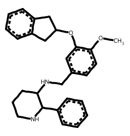 COc1ccc(CNC2CCCNC2c2ccccc2)cc1OC1Cc2ccccc2C1